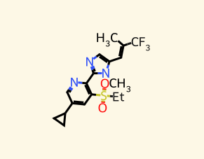 CCS(=O)(=O)c1cc(C2CC2)cnc1-c1ncc(/C=C(\C)C(F)(F)F)n1C